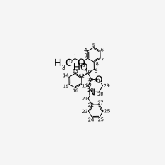 CCOc1ccccc1CC(O)(c1ccccc1)C1CN(Cc2ccccc2)CCO1